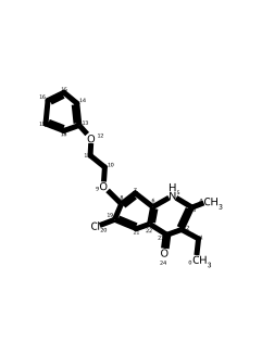 CCc1c(C)[nH]c2cc(OCCOc3ccccc3)c(Cl)cc2c1=O